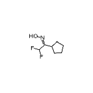 O/N=C(\C(F)F)C1CCCC1